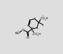 CC(C)(C)OC(=O)[C@]1(C(=O)O)C=CCC(C)(C(=O)O)C1